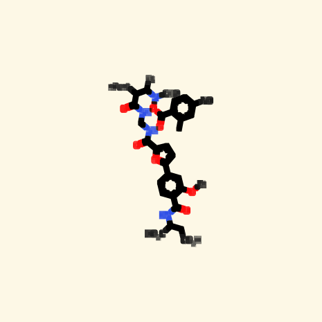 CCCCCC(C(=O)NCNC(=O)c1ccc(-c2ccc(C(=O)NC(CC(=O)O)C(=O)O)c(OCC)c2)o1)C(CC)N(C=O)OC(=O)c1ccc(N=O)cc1C